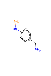 NCc1ccc(NP)cc1